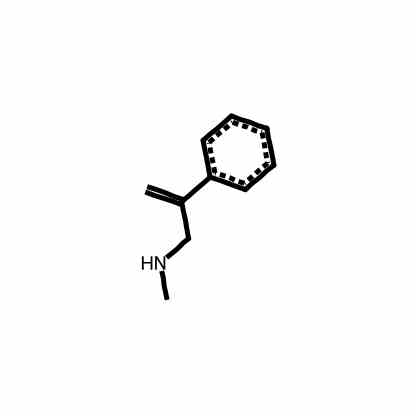 C=C(CNC)c1ccccc1